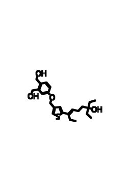 CCC(=CCCC(O)(CC)CC)c1cc(COc2ccc(CO)c(CO)c2)cs1